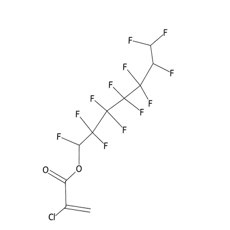 C=C(Cl)C(=O)OC(F)C(F)(F)C(F)(F)C(F)(F)C(F)(F)C(F)C(F)F